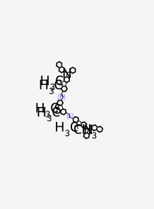 CC1(C)c2cc(/C=C/c3ccc4c(c3)-c3cc(/C=C/c5ccc6c(c5)C(C)(C)c5cc(N(c7ccccc7)c7ccc8ccccc8c7)ccc5-6)ccc3S4(C)C)ccc2-c2ccc(N(c3ccccc3)c3ccc4ccccc4c3)cc21